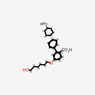 CCC[C@H]1CC[C@H](c2ccc(-c3cc(OCCCCCCO)ccc3C(=O)O)cc2)CC1